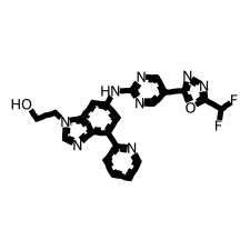 OCCn1cnc2c(-c3ccccn3)cc(Nc3ncc(-c4nnc(C(F)F)o4)cn3)cc21